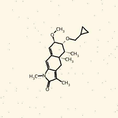 CO[C@@H]1C=C2C=C3C(=C(C)C(=O)N3C)C[C@]2(C)[C@@H](C)[C@H]1OCC1CC1